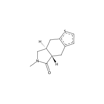 CN1C[C@H]2Cc3sccc3C[C@@H]2C1=O